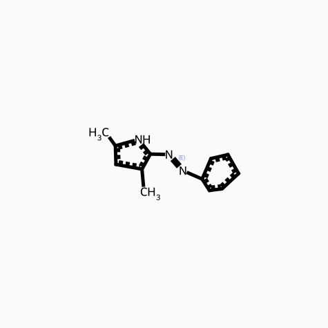 Cc1cc(C)c(/N=N/c2ccccc2)[nH]1